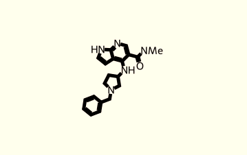 CNC(=O)c1cnc2[nH]ccc2c1NC1CCN(Cc2ccccc2)C1